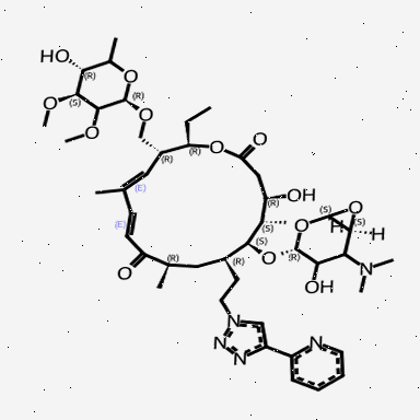 CC[C@H]1OC(=O)C[C@@H](O)[C@H](C)[C@@H](O[C@@H]2O[C@@H]3O[C@H]3C(N(C)C)C2O)[C@@H](CCn2cc(-c3ccccn3)nn2)C[C@@H](C)C(=O)/C=C/C(C)=C/[C@@H]1CO[C@@H]1OC(C)[C@@H](O)[C@H](OC)C1OC